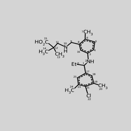 CCC(Nc1ccc(C)c(CNCC(C)(C)C(=O)O)c1)c1cc(C)c(Cl)c(C)c1